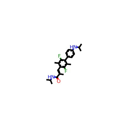 C/C(=C\c1c(C)c(F)c(-c2ccc(NC(C)C)cc2)c(C)c1F)C(=O)NC(C)C